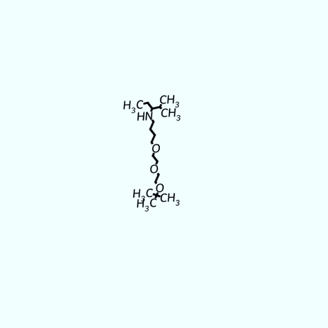 CCC(NCCCCOCCOCCOC(C)(C)C)C(C)C